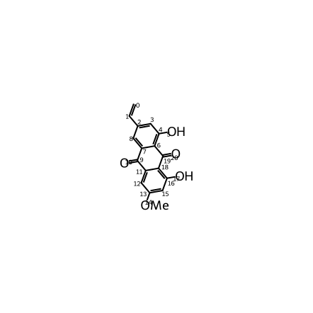 C=Cc1cc(O)c2c(c1)C(=O)c1cc(OC)cc(O)c1C2=O